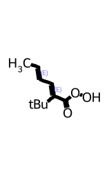 C/C=C/C=C(/C(=O)OO)C(C)(C)C